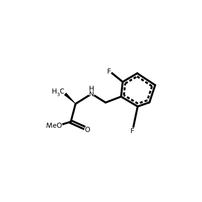 COC(=O)[C@@H](C)NCc1c(F)cccc1F